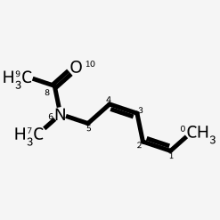 C/C=C\C=C/CN(C)C(C)=O